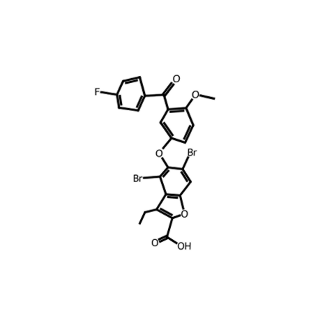 CCc1c(C(=O)O)oc2cc(Br)c(Oc3ccc(OC)c(C(=O)c4ccc(F)cc4)c3)c(Br)c12